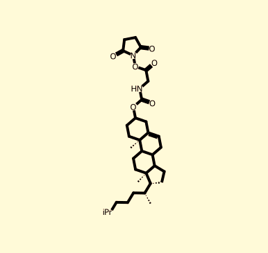 CC(C)CCC[C@@H](C)[C@H]1CCC2C3CC=C4CC(OC(=O)NCC(=O)ON5C(=O)CCC5=O)CC[C@]4(C)C3CC[C@@]21C